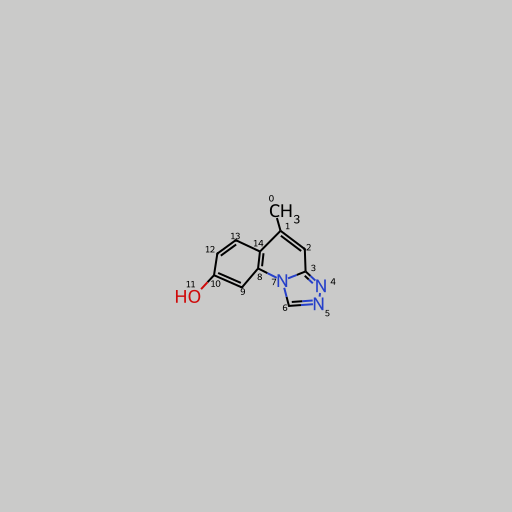 Cc1cc2nncn2c2cc(O)ccc12